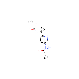 CC(C)(C)OC(=O)NC1(c2ccc(NC(=O)C3CC3)cn2)CC1